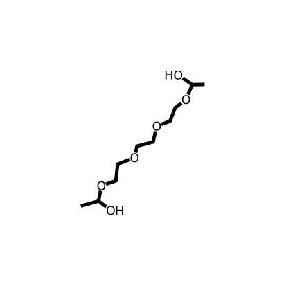 CC(O)OCCOCCOCCOC(C)O